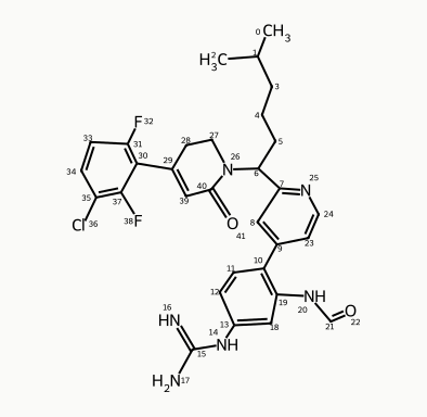 CC(C)CCCC(c1cc(-c2ccc(NC(=N)N)cc2NC=O)ccn1)N1CCC(c2c(F)ccc(Cl)c2F)=CC1=O